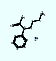 CCCCN(C(=S)S)c1ccccc1.[Zn]